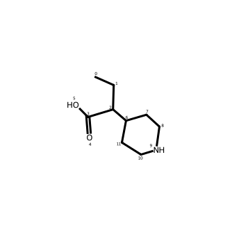 CCC(C(=O)O)C1CCNCC1